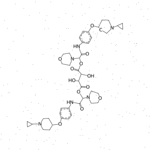 O=C(OC(C(=O)Nc1ccc(OC2CCN(C3CC3)CC2)cc1)N1CCOCC1)C(O)C(O)C(=O)OC(C(=O)Nc1ccc(OC2CCN(C3CC3)CC2)cc1)N1CCOCC1